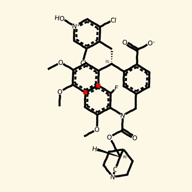 COc1ccc([C@H](Cc2c(Cl)c[n+](O)cc2Cl)c2cc(CN(C(=O)O[C@H]3CN4CCC3CC4)c3c(F)cccc3OC)ccc2C(=O)[O-])cc1OC